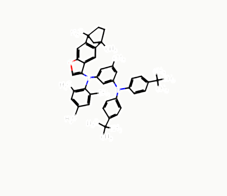 Cc1cc(N(c2ccc(C(C)(C)C)cc2)c2ccc(C(C)(C)C)cc2)cc(N(c2c(C)cc(C)cc2C)c2coc3cc4c(cc23)C2(C)CCC4(C)C2)c1